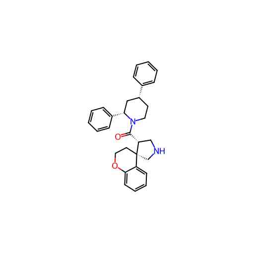 O=C([C@@H]1CNC[C@]12CCOc1ccccc12)N1CC[C@@H](c2ccccc2)C[C@H]1c1ccccc1